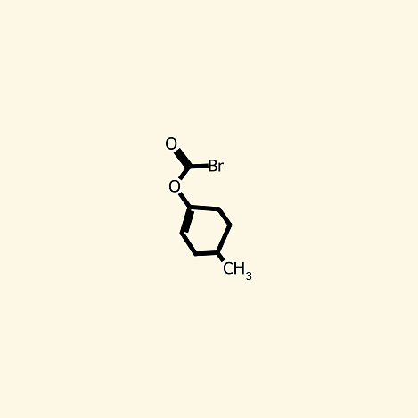 CC1CC=C(OC(=O)Br)CC1